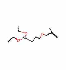 C=C(C)COCCC[Si](OCC)OCC